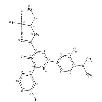 CN(C)c1ccc(-c2cc(C(=O)NC(CO)C(F)(F)F)c(=O)n(-c3cccc(F)c3)n2)cc1Cl